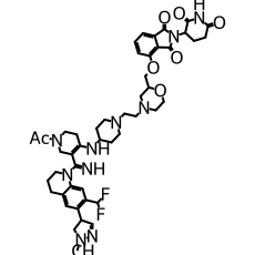 CC(=O)N1CCC(NC2CCN(CCN3CCOC(COc4cccc5c4C(=O)N(C4CCC(=O)NC4=O)C5=O)C3)CC2)=C(C(=N)N2CCCc3cc(C4C=NN(C)C4)c(C(F)F)cc32)C1